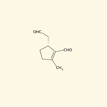 CC1=C(C=O)[C@@H](CC=O)CC1